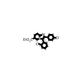 CCOC(=O)c1ccc2nc(-c3ccc(Cl)cc3)c(-c3ccccc3Cl)n2c1